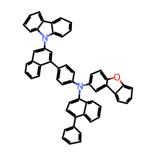 c1ccc(-c2ccc(N(c3ccc(-c4cc(-n5c6ccccc6c6ccccc65)cc5ccccc45)cc3)c3ccc4oc5ccccc5c4c3)c3ccccc23)cc1